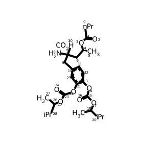 CCCC(=O)O[C@@H](C)CC(N)(Cc1ccc(OC(=O)OC(C)C(C)C)c(OC(=O)OC(C)C(C)C)c1)C(=O)O